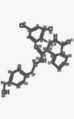 O=C1N[C@@H](c2ccc(Cl)cc2Cl)[C@H](C(=O)NOCc2ccc(CO)cn2)c2ccccc21